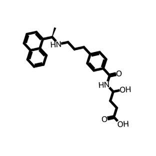 C[C@@H](NCCCc1ccc(C(=O)NC(O)CCC(=O)O)cc1)c1cccc2ccccc12